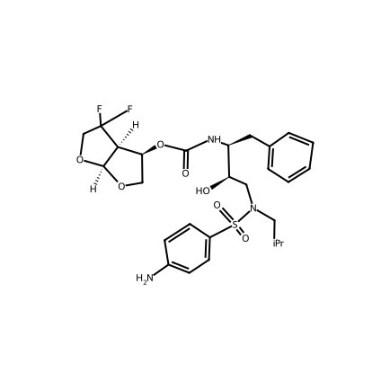 CC(C)CN(C[C@@H](O)[C@H](Cc1ccccc1)NC(=O)O[C@H]1CO[C@H]2OCC(F)(F)[C@H]21)S(=O)(=O)c1ccc(N)cc1